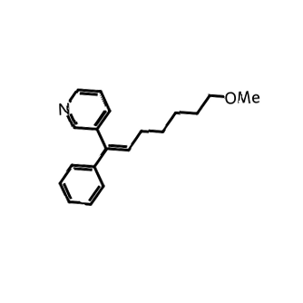 COCCCCCC=C(c1ccccc1)c1cccnc1